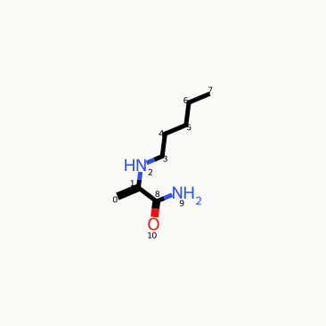 C=C(NCCCCC)C(N)=O